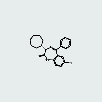 O=C1Nc2ccc(Cl)cc2C(c2ccccc2)=N[C@H]1C1CCCCCC1